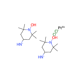 CC1(C)CC([NH-])CC(C)(C)N1O.CC1(C)CC([NH-])CC(C)(C)N1O.[Cl-].[Cl-].[Pt+4]